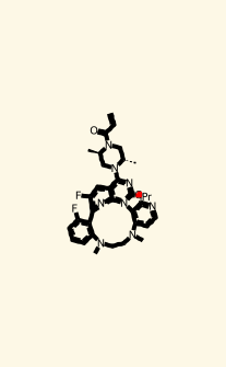 C=CC(=O)N1C[C@H](C)N(c2nc(=O)n3c4nc(c(F)cc24)-c2c(F)cccc2N(C)CCN(C)c2ccnc(C(C)C)c2-3)C[C@H]1C